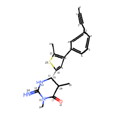 CC#Cc1cccc(-c2cc([C@H]3NC(=N)N(C)C(=O)C3C)sc2C)c1